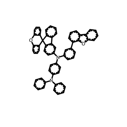 c1ccc(N(c2ccccc2)c2ccc(N(c3cccc(-c4cccc5c4oc4ccccc45)c3)c3ccc4c(c3)-c3ccccc3C43c4ccccc4Oc4ccccc43)cc2)cc1